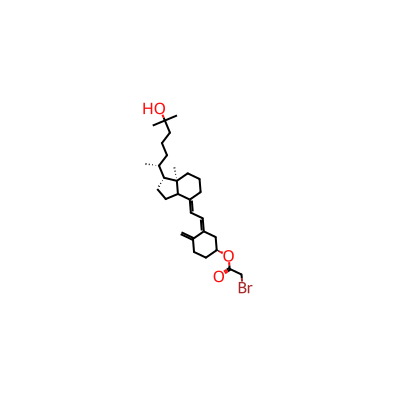 C=C1CC[C@H](OC(=O)CBr)C/C1=C/C=C1\CCC[C@@]2(C)C1CC[C@@H]2[C@H](C)CCCC(C)(C)O